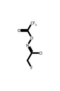 O=C(ON=C(Cl)CF)C(F)(F)F